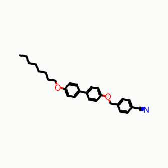 CCCCCCCCOc1ccc(-c2ccc(OCc3ccc(C#N)cc3)cc2)cc1